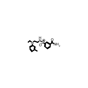 CCN(CCNS(=O)(=O)c1cccc(C(N)=O)c1)c1cccc(C)c1